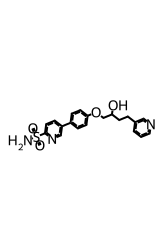 NS(=O)(=O)c1ccc(-c2ccc(OCC(O)CCc3cccnc3)cc2)cn1